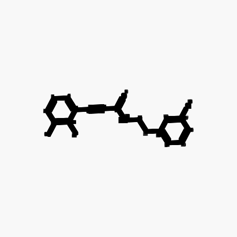 Cc1cccc(C#CC(=O)NCCc2cccc(Cl)c2)c1C